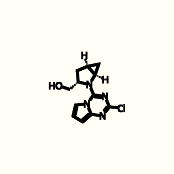 OC[C@@H]1C[C@H]2C[C@H]2N1c1nc(Cl)nc2cccn12